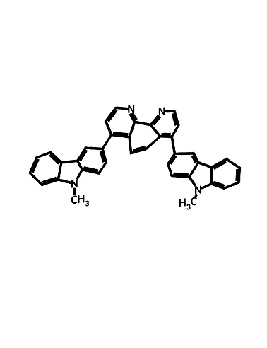 Cn1c2ccccc2c2cc(-c3ccnc4c3ccc3c(-c5ccc6c(c5)c5ccccc5n6C)ccnc34)ccc21